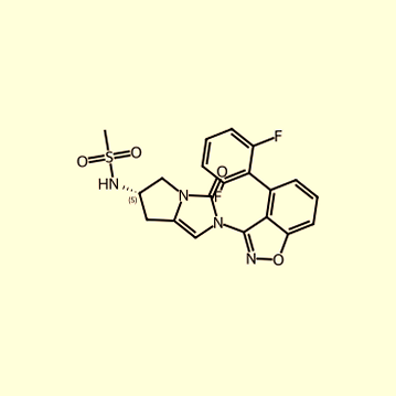 CS(=O)(=O)N[C@H]1Cc2cn(-c3noc4cccc(-c5c(F)cccc5F)c34)c(=O)n2C1